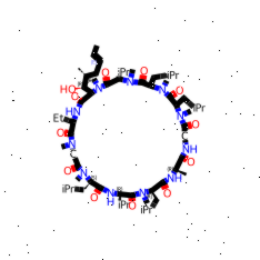 C/C=C/C[C@@H](C)[C@@H](O)C1C(=O)NC(CC)C(=O)N(C)CC(=O)N(C)[C@@H](CC(C)C)C(=O)N[C@H](C(C)C)C(=O)N(C)[C@H](CC(C)C)C(=O)N[C@H](C)C(=O)NCC(=O)N(C)C(CC(C)C)C(=O)N(C)C(CC(C)C)C(=O)N(C)C(C(C)C)C(=O)N1C